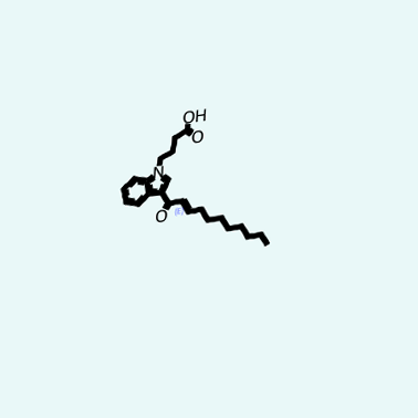 CCCCCCCC/C=C/C(=O)c1cn(CCCC(=O)O)c2ccccc12